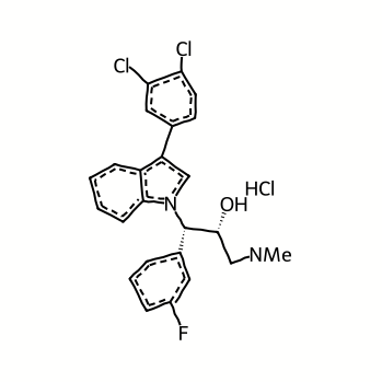 CNC[C@@H](O)[C@H](c1cccc(F)c1)n1cc(-c2ccc(Cl)c(Cl)c2)c2ccccc21.Cl